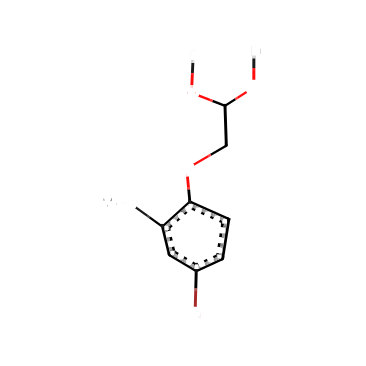 CCOC(COc1ccc(Br)cc1OC)OCC